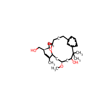 CC[C@@H](/C=C(/C)C1C[C@@H](OC)C[C@H](O)C(C)(C)c2cccc(c2)CCCC(=O)O1)CO